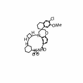 COc1cc2c(cc1Cl)CCC[C@]21COc2ccc3cc2N(C[C@@H]2CC[C@@H]2C[C@H]2CCC[C@@H](C2)S(=O)(=O)NC3=O)C1